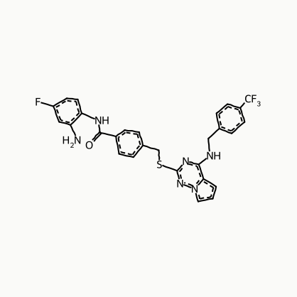 Nc1cc(F)ccc1NC(=O)c1ccc(CSc2nc(NCc3ccc(C(F)(F)F)cc3)c3cccn3n2)cc1